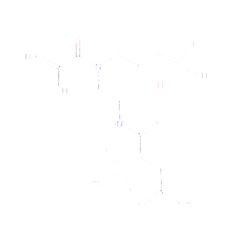 C=C(C)C(=O)N(CCC[Si](C)(O)O)CCNC(=O)C(CC(=O)O)S(=O)(=O)O